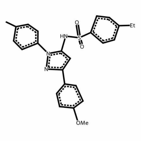 CCc1ccc(S(=O)(=O)Nc2cc(-c3ccc(OC)cc3)nn2-c2ccc(C)cc2)cc1